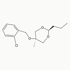 CCC[C@H]1OC[C@@](C)(OCc2ccccc2Cl)CO1